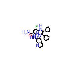 NC(=O)c1cc(F)c(N[C@H](c2ccccc2)[C@H](N)c2ccccc2)nc1Nc1ccc2cccnc2c1